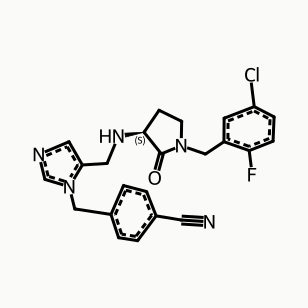 N#Cc1ccc(Cn2cncc2CN[C@H]2CCN(Cc3cc(Cl)ccc3F)C2=O)cc1